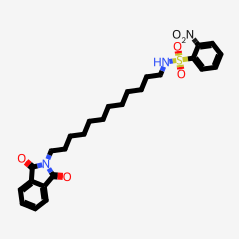 O=C1c2ccccc2C(=O)N1CCCCCCCCCCCCNS(=O)(=O)c1ccccc1[N+](=O)[O-]